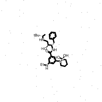 CCNc1cc(C(=O)N[C@@H](Cc2ccccc2)[C@@H](O)CN[C@@H](C)C(C)(C)C)cc(N2CCCCS2(O)O)c1